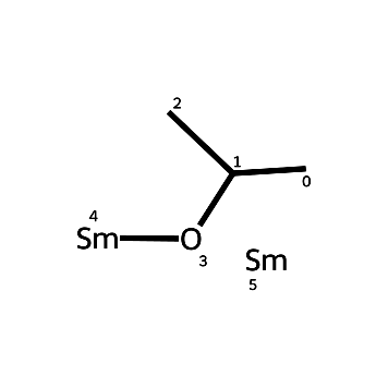 CC(C)[O][Sm].[Sm]